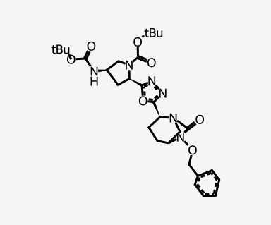 CC(C)(C)OC(=O)N[C@@H]1C[C@H](c2nnc([C@@H]3CCC4CN3C(=O)N4OCc3ccccc3)o2)N(C(=O)OC(C)(C)C)C1